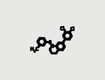 Cc1cccc(SN2CCCc3ccc(-c4ccc(Cl)c(Cl)c4)cc32)c1